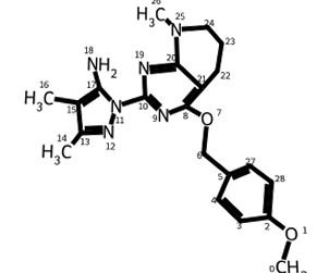 COc1ccc(COc2nc(-n3nc(C)c(C)c3N)nc3c2CCCN3C)cc1